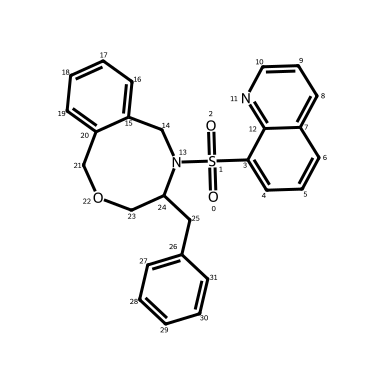 O=S(=O)(c1cccc2cccnc12)N1Cc2ccccc2COCC1Cc1ccccc1